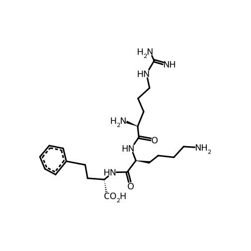 N=C(N)NCCC[C@H](N)C(=O)N[C@@H](CCCCN)C(=O)N[C@@H](CCc1ccccc1)C(=O)O